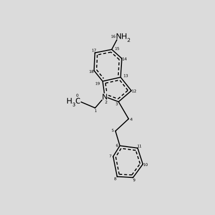 CCn1c(CCc2ccccc2)cc2cc(N)ccc21